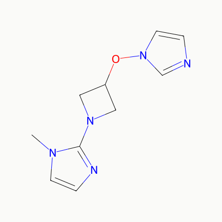 Cn1ccnc1N1CC(On2ccnc2)C1